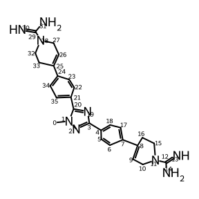 Cn1nc(-c2ccc(C3=CCN(C(=N)N)CC3)cc2)nc1-c1ccc(C2=CCN(C(=N)N)CC2)cc1